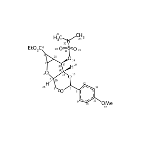 CCOC(=O)C1C2O[C@@H]3COC(c4ccc(OC)cc4)O[C@H]3[C@H](OS(=O)(=O)N(C)C)C21